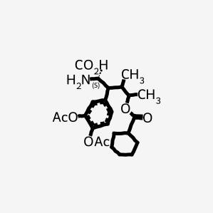 CC(=O)Oc1ccc(C(C(C)C(C)OC(=O)C2CCCCC2)[C@H](N)C(=O)O)cc1OC(C)=O